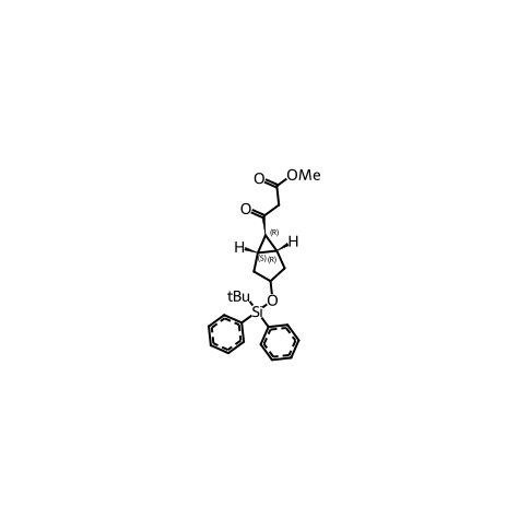 COC(=O)CC(=O)[C@H]1[C@@H]2CC(O[Si](c3ccccc3)(c3ccccc3)C(C)(C)C)C[C@@H]21